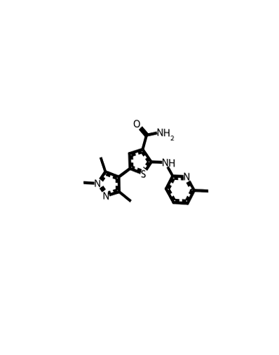 Cc1cccc(Nc2sc(-c3c(C)nn(C)c3C)cc2C(N)=O)n1